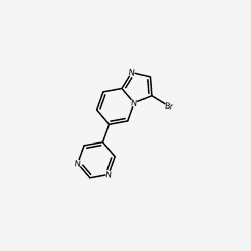 Brc1cnc2ccc(-c3cncnc3)cn12